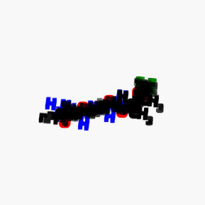 CCCN(CCC)C(=O)C1=Cc2ccc(C(=O)Nc3ccc(N4CCC(C(=O)NCCNC(=O)CCC(C)(C)OCCC(C)(C)C(=O)Oc5c(F)c(F)cc(F)c5F)CC4)nc3)cc2N=C(N)C1